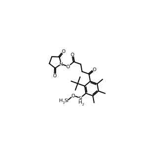 Cc1c(C)c([SiH2]O[SiH3])c(C(C)(C)C)c(C(=O)CCC(=O)ON2C(=O)CCC2=O)c1C